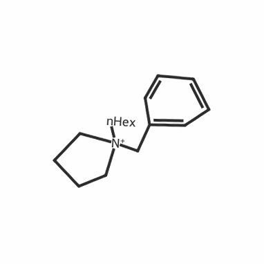 CCCCCC[N+]1(Cc2ccccc2)CCCC1